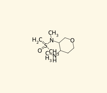 C=S(C)(=O)N(C)C1COCCC1NC